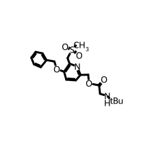 CC(C)(C)NCC(=O)OCc1ccc(OCc2ccccc2)c(CS(C)(=O)=O)n1